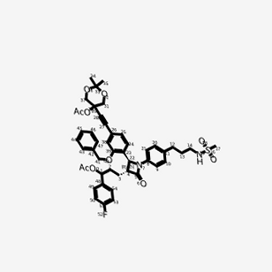 CC(=O)OC(CC[C@H]1C(=O)N(c2ccc(CCCNS(C)(=O)=O)cc2)[C@@H]1c1ccc(C#CC2(OC(C)=O)COC(C)(C)OC2)cc1OCc1ccccc1)c1ccc(F)cc1